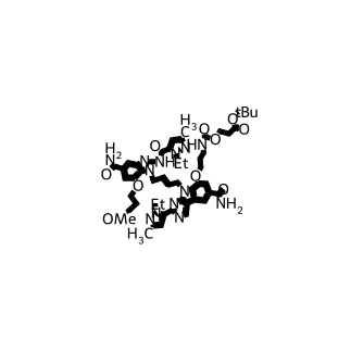 CCn1nc(C)cc1C(=O)Nc1nc2cc(C(N)=O)cc(OCCCOC)c2n1CC=CCn1c2nc(-c3cc(C)nn3CC)ncc2c2cc(C(N)=O)cc(OCCCNC(=O)OCCC(=O)OC(C)(C)C)c21